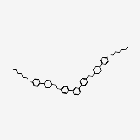 CCCCCCOc1ccc(C2CCC(CCc3ccc(-c4cccc(-c5ccc(CCC6CCC(c7ccc(OCCCCCC)cc7)CC6)cc5)c4)cc3)CC2)cc1